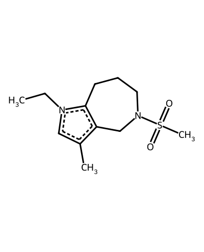 CCn1cc(C)c2c1CCCN(S(C)(=O)=O)C2